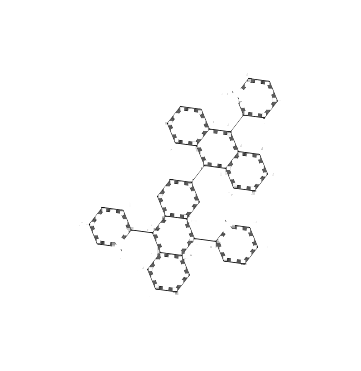 c1ccc(-c2c3ccccc3c(-c3ccc4c(-c5ccccn5)c5ccccc5c(-c5ccccn5)c4c3)c3ccccc23)nc1